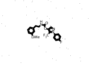 COc1cccc(CCNC(=O)Oc2cnn(-c3ccc(F)cc3)c2C(F)(F)F)c1